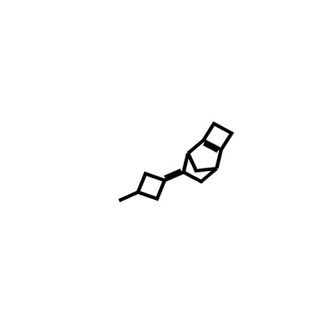 CC1CC(=C2CC3CC2C2=C3CC2)C1